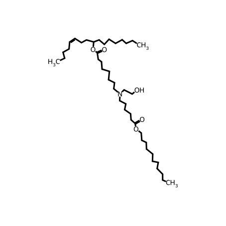 CCCC/C=C\CCC(CCCCCCCC)OC(=O)CCCCCCCN(CCO)CCCCCC(=O)OCCCCCCCCCCC